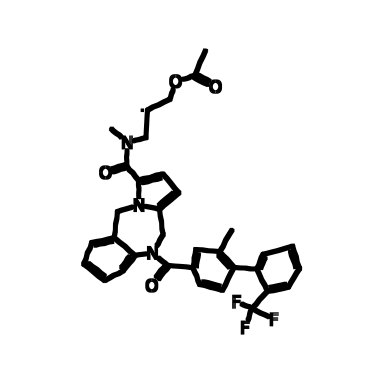 CC(=O)OC[CH]CN(C)C(=O)c1ccc2n1Cc1ccccc1N(C(=O)c1ccc(-c3ccccc3C(F)(F)F)c(C)c1)C2